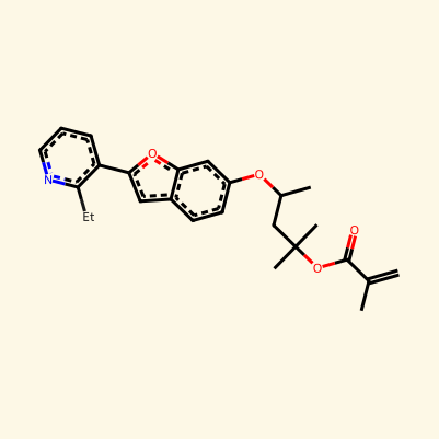 C=C(C)C(=O)OC(C)(C)CC(C)Oc1ccc2cc(-c3cccnc3CC)oc2c1